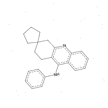 c1ccc(Nc2c3c(nc4ccccc24)CC2(CCCC2)CC3)cc1